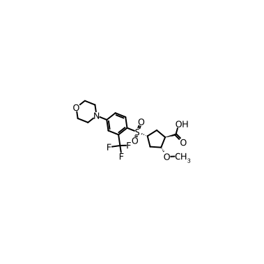 CO[C@@H]1C[C@H](S(=O)(=O)c2ccc(N3CCOCC3)cc2C(F)(F)F)C[C@H]1C(=O)O